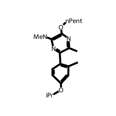 CCCCCOc1nc(C)c(-c2ccc(OC(C)C)cc2C)nc1NC